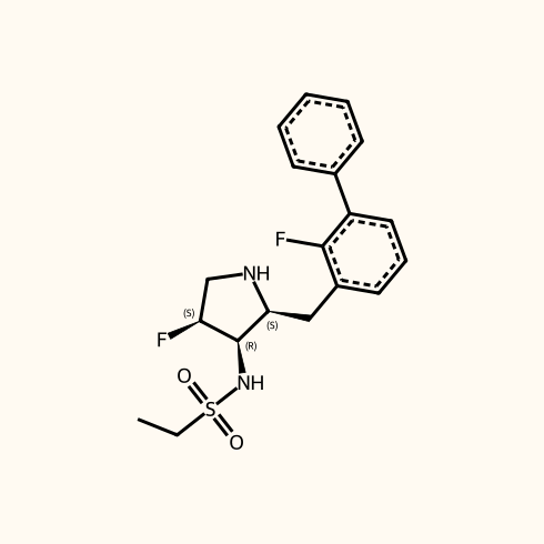 CCS(=O)(=O)N[C@@H]1[C@H](Cc2cccc(-c3ccccc3)c2F)NC[C@@H]1F